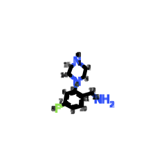 CN1CCN(c2cc(F)ccc2CN)CC1